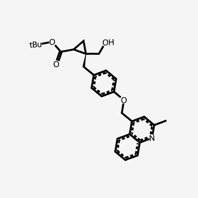 Cc1cc(COc2ccc(C[C@]3(CO)CC3C(=O)OC(C)(C)C)cc2)c2ccccc2n1